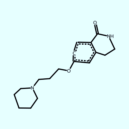 O=C1NCCc2cc(OCCCN3CCCCC3)ccc21